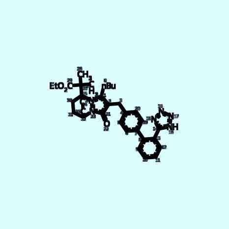 CCCCc1c(Cc2ccc(-c3ccccc3-c3nnn[nH]3)cc2)c(=O)n2n1C1(C(C)(C)C(=O)OCC)CCC2CC1